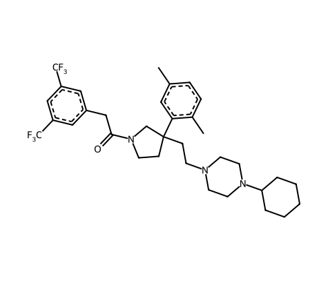 Cc1ccc(C)c(C2(CCN3CCN(C4CCCCC4)CC3)CCN(C(=O)Cc3cc(C(F)(F)F)cc(C(F)(F)F)c3)C2)c1